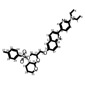 CCN(CC)c1ccc(-c2ccc3cc(OCC(COS(=O)(=O)c4ccc(C)cc4)OC4CCCCO4)ccc3n2)cn1